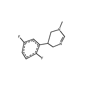 CN1C=NCC(c2cc(F)ccc2F)C1